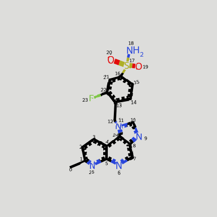 Cc1ccc2c(ncc3ncn(Cc4ccc(S(N)(=O)=O)cc4F)c32)n1